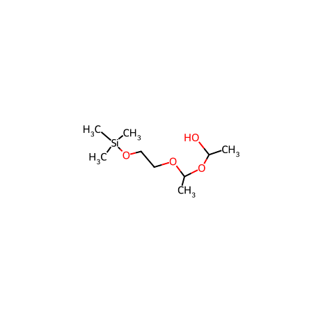 CC(O)OC(C)OCCO[Si](C)(C)C